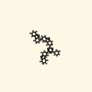 c1ccc(-c2nc(-c3ccc4oc5ccc(-c6cccc7c6oc6ccccc67)cc5c4c3)nc(-c3ccc4sc5ccccc5c4c3)n2)cc1